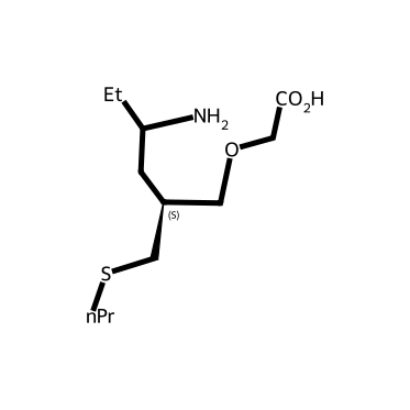 CCCSC[C@H](COCC(=O)O)CC(N)CC